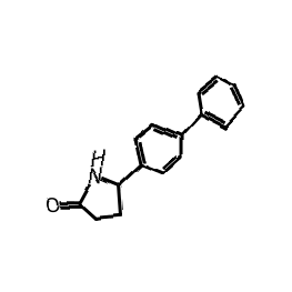 O=C1CCC(c2ccc(-c3ccccc3)cc2)N1